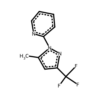 Cc1cc(C(F)(F)F)nn1-c1ccccn1